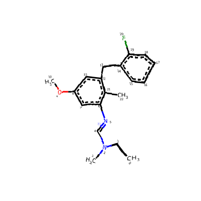 CCN(C)/C=N/c1cc(OC)cc(Cc2ccccc2F)c1C